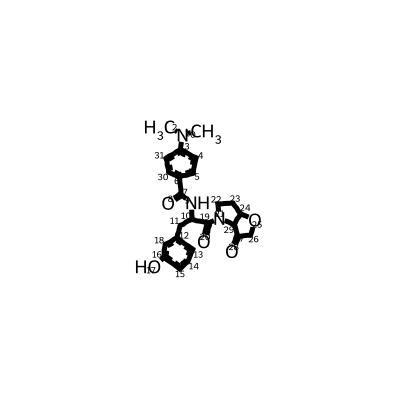 CN(C)c1ccc(C(=O)NC(Cc2cccc(O)c2)C(=O)N2CCC3OCC(=O)C32)cc1